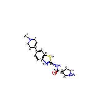 CC(=O)N1CC=C(c2ccc3nc(NC(=O)[C@H]4CCNC4)sc3c2)CC1